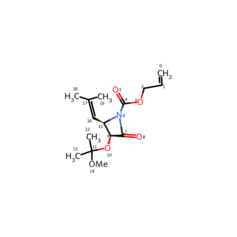 C=CCOC(=O)N1C(=O)[C@@H](OC(C)(C)OC)[C@H]1C=C(C)C